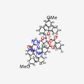 COc1ccc(C(Nc2nc3c(ncn3[C@@H]3O[C@@](COC(=O)c4ccc(C)cc4)(COC(c4ccccc4)(c4ccccc4)c4ccc(OC)cc4)[C@@H](OC(=O)c4ccc(C)cc4)[C@@H]3F)c(=O)[nH]2)(c2ccccc2)c2ccccc2)cc1